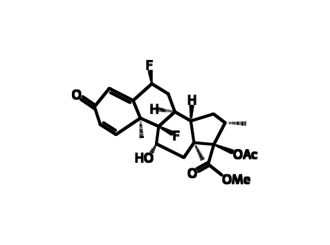 COC(=O)[C@@]1(OC(C)=O)[C@@H](C)C[C@H]2[C@@H]3C[C@H](F)C4=CC(=O)C=C[C@]4(C)[C@@]3(F)[C@@H](O)C[C@@]21C